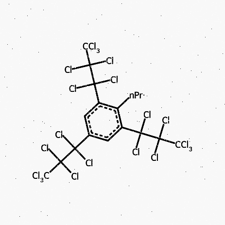 CC[CH]c1c(C(Cl)(Cl)C(Cl)(Cl)C(Cl)(Cl)Cl)cc(C(Cl)(Cl)C(Cl)(Cl)C(Cl)(Cl)Cl)cc1C(Cl)(Cl)C(Cl)(Cl)C(Cl)(Cl)Cl